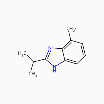 [CH2]c1cccc2[nH]c(C(C)C)nc12